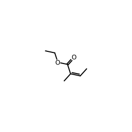 C/C=C(/C)C(=O)OCC